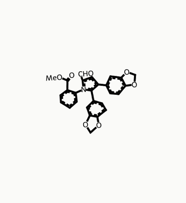 COC(=O)c1ccccc1-n1c(C=O)cc(-c2ccc3c(c2)OCO3)c1-c1ccc2c(c1)OCO2